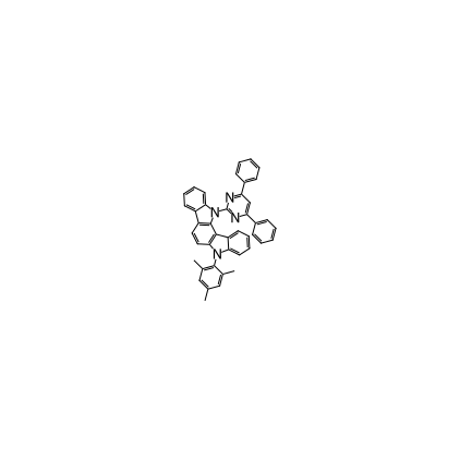 Cc1cc(C)c(-n2c3ccccc3c3c2ccc2c4ccccc4n(-c4nc(-c5ccccc5)cc(-c5ccccc5)n4)c23)c(C)c1